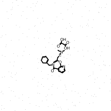 CN(C)CCC1=CN(CC2=CC=CCC2)C(=O)c2cccnc2O1.O=C(O)C(=O)O